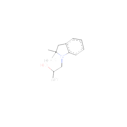 CCCC(O)CN1c2ccccc2CC1(C)S(=O)(=O)O